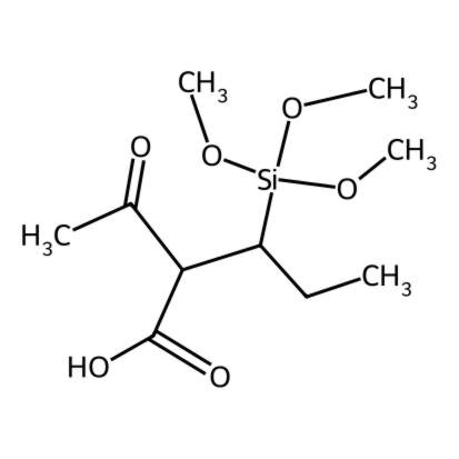 CCC(C(C(C)=O)C(=O)O)[Si](OC)(OC)OC